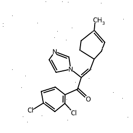 CC1=CCC(C=C(C(=O)c2ccc(Cl)cc2Cl)n2ccnc2)CC1